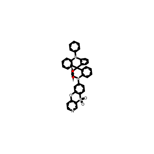 O=S1(=O)c2ccc(N3c4ccccc4C4(c5ccccc5N(c5ccccc5)c5ccccc54)c4ccccc43)cc2Oc2ccncc21